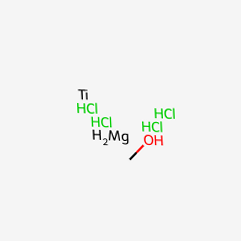 CO.Cl.Cl.Cl.Cl.[MgH2].[Ti]